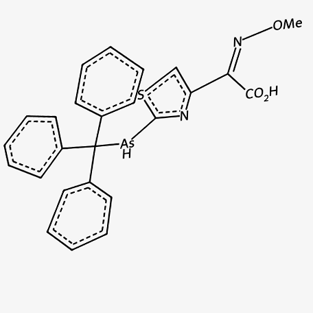 CO/N=C(\C(=O)O)c1csc([AsH]C(c2ccccc2)(c2ccccc2)c2ccccc2)n1